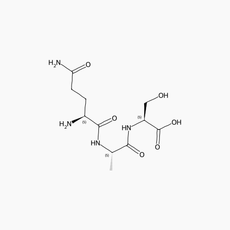 C[C@H](NC(=O)[C@@H](N)CCC(N)=O)C(=O)N[C@@H](CO)C(=O)O